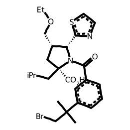 CCOC[C@H]1C[C@@](CC(C)C)(C(=O)O)N(C(=O)c2cccc(C(C)(C)CBr)c2)[C@H]1c1nccs1